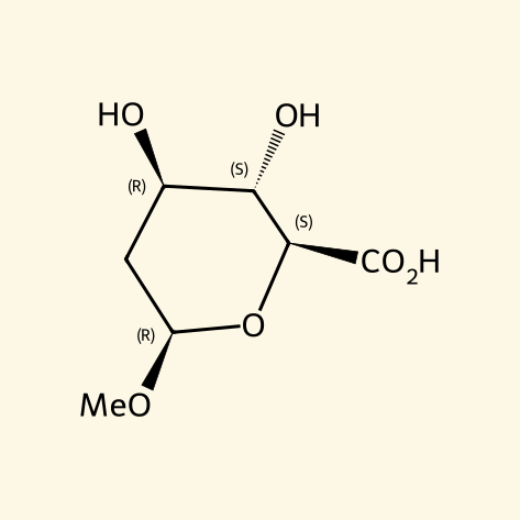 CO[C@H]1C[C@@H](O)[C@H](O)[C@@H](C(=O)O)O1